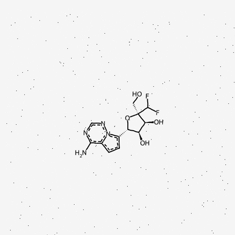 Nc1ncnn2c([C@@H]3O[C@@](CO)(C(F)F)[C@@H](O)[C@H]3O)ccc12